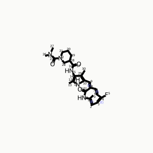 C\C1=C/C=C(F)\C=C\C(=C\c2[nH]c(C)c(NC(=O)C3CCCN(C(=O)N(C)C)C3)c2C)C(=O)N1